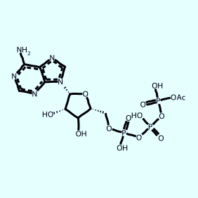 CC(=O)OP(=O)(O)OP(=O)(O)OP(=O)(O)OC[C@H]1O[C@@H](n2cnc3c(N)ncnc32)[C@@H](O)C1O